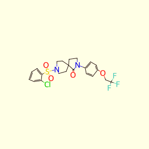 O=C1N(c2ccc(OCC(F)(F)F)cc2)CCC12CCN(S(=O)(=O)c1ccccc1Cl)CC2